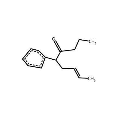 CC=CCC(C(=O)CCC)c1ccccc1